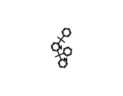 CC(C)(c1ccccc1)c1cccc(C(C)(c2ccccc2)c2ccccn2)n1